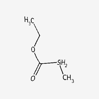 CCOC(=O)[SiH2]C